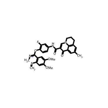 C=Nc1cc(OC)c(OC)cc1/C(=N\C)Oc1ccc(NC(=O)c2cn3c4c(cc(C)cc4c2=O)CCC3)cc1F